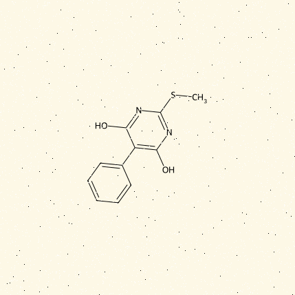 CSc1nc(O)c(-c2ccccc2)c(O)n1